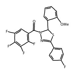 COc1ccccc1C1SC(c2ccc(F)cc2)=NN1C(=O)c1cc(F)c(F)c(F)c1F